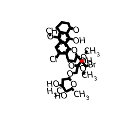 COc1c2c(c(O)c3c4c(c(Cl)cc13)C1C[C@@](OC)(O4)[C@@](O)(CBr)C(COC3CC(C)(O)C(O)C(C)O3)(OC)O1)C(=O)CCC2